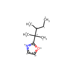 CCC(C)C(C)(C)c1ncco1